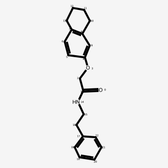 O=C(COc1ccc2c(c1)CCCC2)NCCc1ccccc1